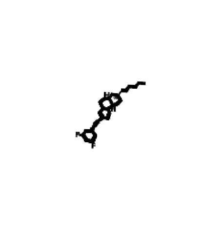 CCCCCC[C@@H]1CC[C@@H]2c3ccc(C#Cc4cc(F)cc(F)c4)cc3CC[C@@H]2C1